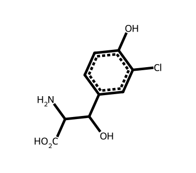 NC(C(=O)O)C(O)c1ccc(O)c(Cl)c1